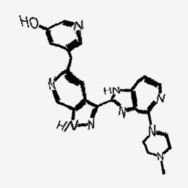 CN1CCN(c2nccc3[nH]c(-c4n[nH]c5cnc(-c6cncc(O)c6)cc45)nc23)CC1